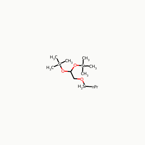 CCC[SiH2]OCC(O[Si](C)(C)C)O[Si](C)(C)C